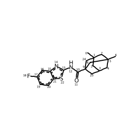 CC12CC3CC(C)(C1)CC(C(=O)Nc1nc4cc(F)ccc4s1)(C3)C2